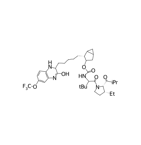 CC[C@@H]1CCN(C(=O)C(NC(=O)OC2CC3CC3[C@H]2CCCCCC2Nc3ccc(OC(F)(F)F)cc3N=C2O)C(C)(C)C)[C@@H]1C(=O)C(C)C